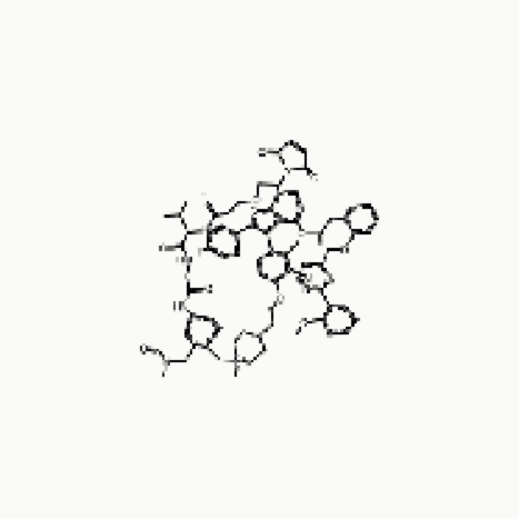 COc1ccccc1-c1nccc(COc2ccccc2CC(C)Oc2ncnc3sc(-c4ccc(F)cc4)c(-c4ccc(OCCN5CC[N+](C)(Cc6ccc(NC(=O)CNC(=O)C(NC(=O)CCOCCN7C(=O)C=CC7=O)C(C)C)cc6CN(C)C=O)CC5)c(Cl)c4C)c23)n1